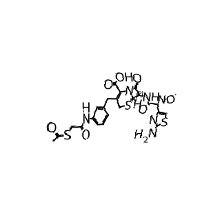 CON=C(C(=O)N[C@@H]1C(=O)N2C(C(=O)O)=C(Cc3cccc(NC(=O)CSC(C)=O)c3)CS[C@H]12)c1csc(N)n1